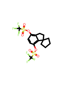 O=S(=O)(Oc1ccc(OS(=O)(=O)C(F)(F)F)c2c1CCC21CCCC1)C(F)(F)F